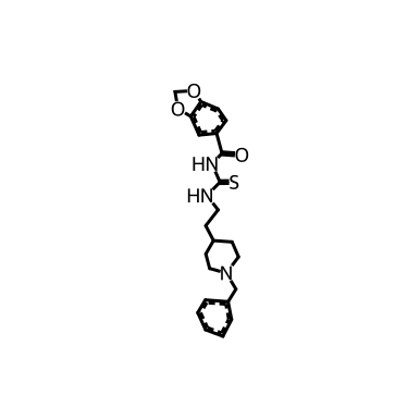 O=C(NC(=S)NCCC1CCN(Cc2ccccc2)CC1)c1ccc2c(c1)OCO2